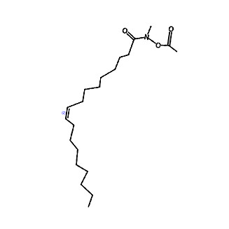 CCCCCCCC/C=C\CCCCCCCC(=O)N(C)OC(C)=O